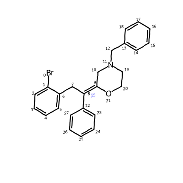 Brc1ccccc1C/C(=C1\CN(Cc2ccccc2)CCO1)c1ccccc1